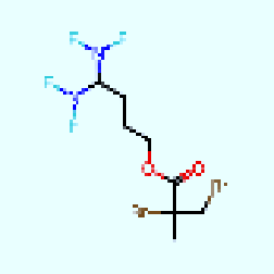 CC(Br)(CBr)C(=O)OCCCC(N(F)F)N(F)F